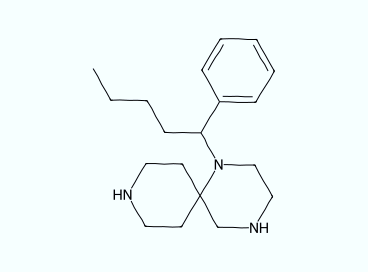 CCCCC(c1ccccc1)N1CCNCC12CCNCC2